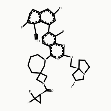 C#Cc1c(F)ccc2cc(O)cc(-c3ccc4c(N5CCCCC6(CN(C(=O)[C@H]7CC7(F)F)C6)C5)nc(OC[C@@]56CCCN5C[C@H](F)C6)nc4c3F)c12